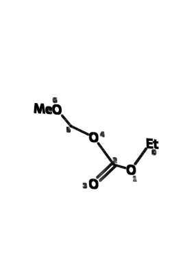 [CH2]COC(=O)OCOC